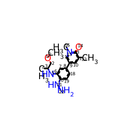 COCC(C)Nc1cc(-c2cc(C)c(=O)n(C)c2)ccc1NN